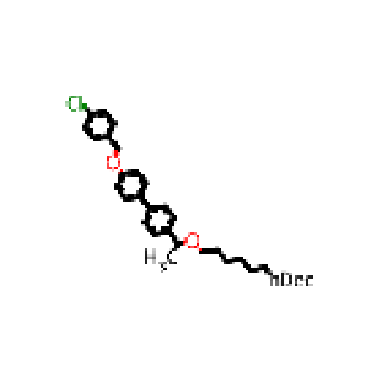 CCCCCCCCCCCCCCCCOC(C)c1ccc(-c2ccc(OCc3ccc(Cl)cc3)cc2)cc1